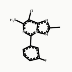 Cc1nc2c(Cl)c(N)nc(-c3cccc(F)c3)n2n1